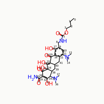 CCCCOC(=O)NCc1cc(N(C)C)c2c(c1O)C(=O)C1=C(O)C3(O)C(=O)C(C(N)=O)=C(O)C(N(C)C)C3CC1C2